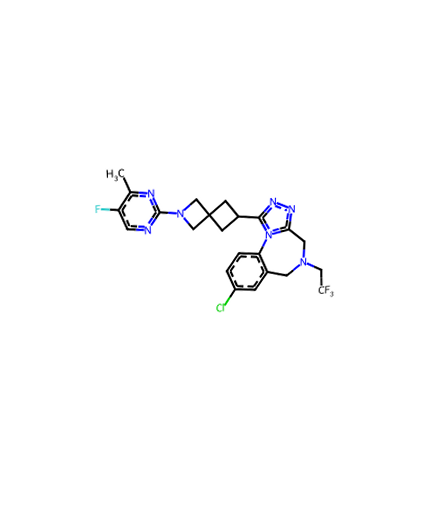 Cc1nc(N2CC3(CC(c4nnc5n4-c4ccc(Cl)cc4CN(CC(F)(F)F)C5)C3)C2)ncc1F